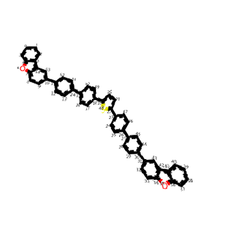 c1ccc2c(c1)oc1ccc(-c3ccc(-c4ccc(-c5ccc(-c6ccc(-c7ccc(-c8ccc9oc%10ccccc%10c9c8)cc7)cc6)s5)cc4)cc3)cc12